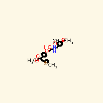 COC(=O)/C(=C/c1ccc(C)s1)c1ccc(OCC(O)CNCc2ccc(OC)cc2OC)cc1